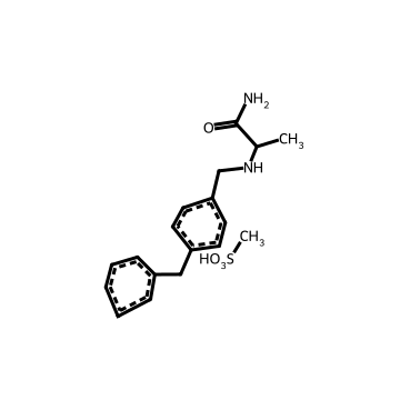 CC(NCc1ccc(Cc2ccccc2)cc1)C(N)=O.CS(=O)(=O)O